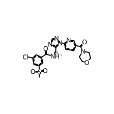 C[C@H](NC(=O)c1cc(Cl)cc(S(C)(=O)=O)c1)c1ncnn1-c1ccc(C(=O)N2CCOCC2)cn1